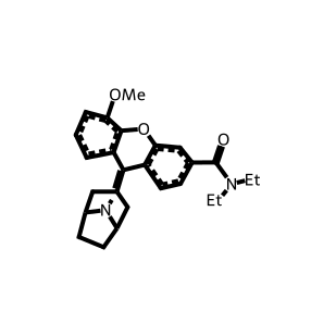 CCN(CC)C(=O)c1ccc2c(c1)Oc1c(OC)cccc1C2=C1CC2CCC(C1)N2C